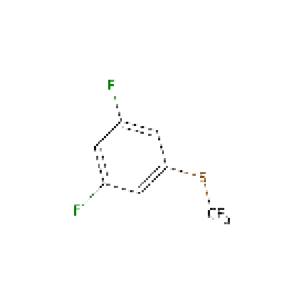 Fc1cc(F)cc(SC(F)(F)F)c1